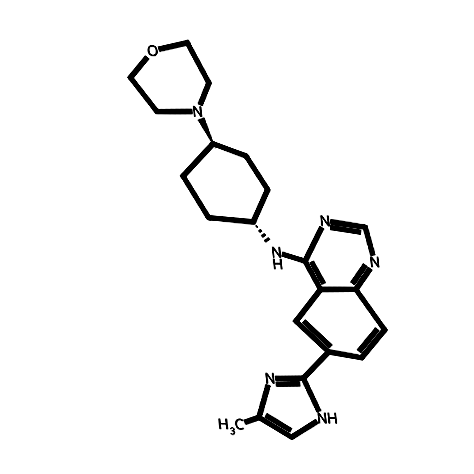 Cc1c[nH]c(-c2ccc3ncnc(N[C@H]4CC[C@H](N5CCOCC5)CC4)c3c2)n1